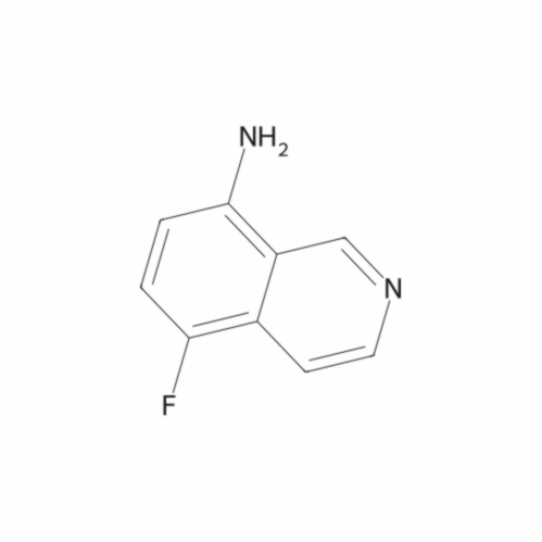 Nc1ccc(F)c2ccncc12